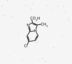 Cc1c(C(=O)O)nc2cc(Cl)ccn12